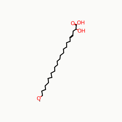 COCCCCCCCCCCCCCCCCCCCC=CCC(O)C(=O)O